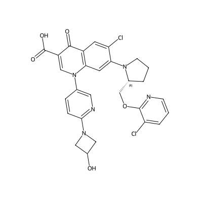 O=C(O)c1cn(-c2ccc(N3CC(O)C3)nc2)c2cc(N3CCC[C@@H]3COc3ncccc3Cl)c(Cl)cc2c1=O